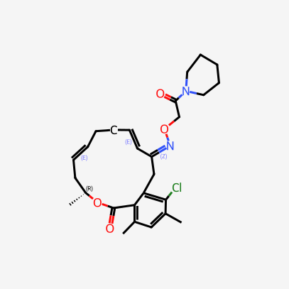 Cc1cc(C)c2c(c1Cl)CC(=N/OCC(=O)N1CCCCC1)/C=C/CC/C=C/C[C@@H](C)OC2=O